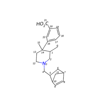 CC1CN(CC2CC3C=CC2C3)CCC1(C)c1cccc(C(=O)O)c1